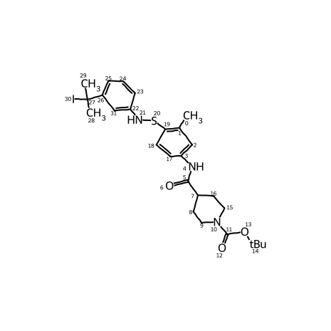 Cc1cc(NC(=O)C2CCN(C(=O)OC(C)(C)C)CC2)ccc1SNc1cccc(C(C)(C)I)c1